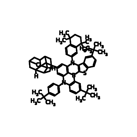 CC(C)(C)c1ccc(N2c3ccc(C(C)(C)C)cc3B3c4sc5ccc(C(C)(C)C)cc5c4N(c4ccc5c(c4)C(C)(C)CCC5(C)C)c4cc([C@]56CC7C8CC9C[C@H]7C(C5)[C@H](C9)C8C6)cc2c43)cc1